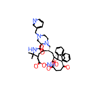 CC(C)(C)NC(=O)C1CN(Cc2cccnc2)CCN1C[C@@H]1C[C@@](Cc2ccccc2)([C@]23OC(=O)CCC(=O)C2Cc2ccccc23)C(=O)NOC(=O)CCC1=O